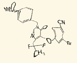 COc1ccc(Cn2cnc(C(C)(F)F)c(Oc3cc(Br)cc(C#N)c3)c2=O)cc1